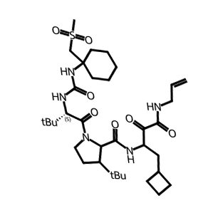 C=CCNC(=O)C(=O)C(CC1CCC1)NC(=O)C1C(C(C)(C)C)CCN1C(=O)[C@@H](NC(=O)NC1(CS(C)(=O)=O)CCCCC1)C(C)(C)C